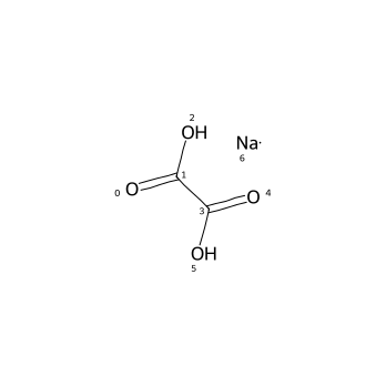 O=C(O)C(=O)O.[Na]